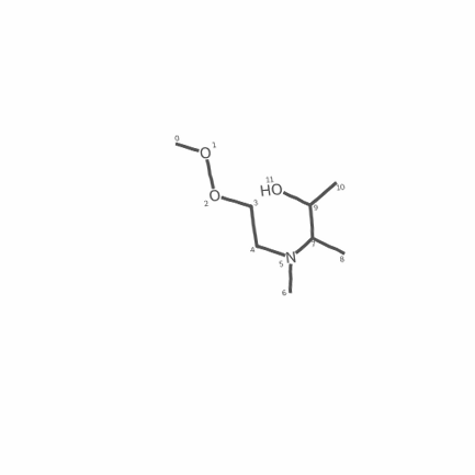 COOCCN(C)C(C)C(C)O